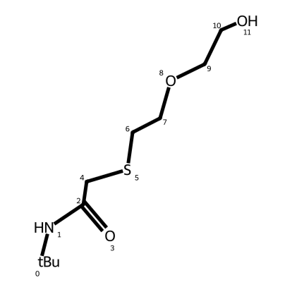 CC(C)(C)NC(=O)CSCCOCCO